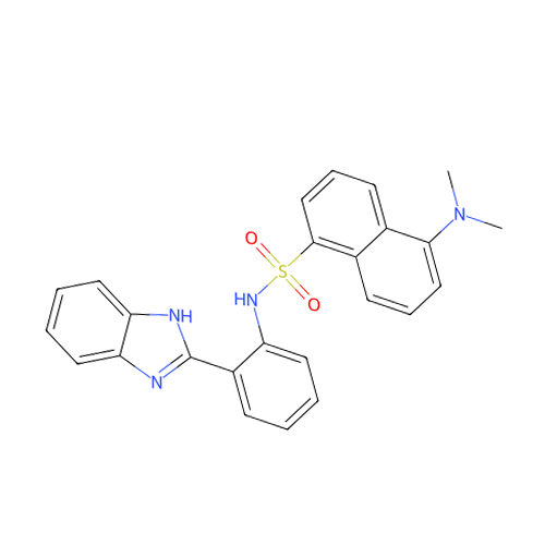 CN(C)c1cccc2c(S(=O)(=O)Nc3ccccc3-c3nc4ccccc4[nH]3)cccc12